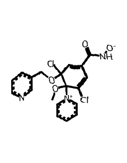 COC1([n+]2ccccc2)C(Cl)=CC(C(=O)N[O-])=CC1(Cl)OCc1cccnc1